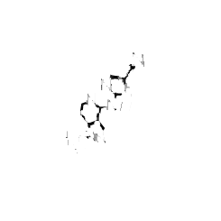 Cn1ncc2c(Nc3ncc(C#N)s3)nccc21